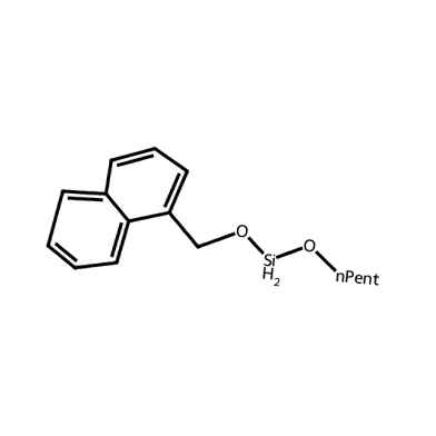 CCCCCO[SiH2]OCc1cccc2ccccc12